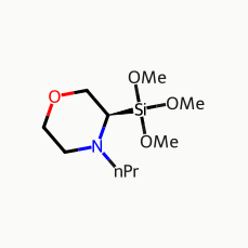 CCCN1CCOC[C@H]1[Si](OC)(OC)OC